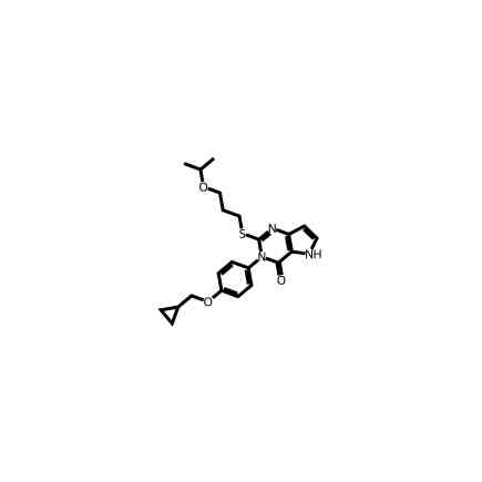 CC(C)OCCCSc1nc2cc[nH]c2c(=O)n1-c1ccc(OCC2CC2)cc1